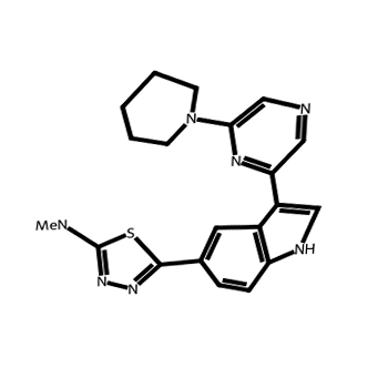 CNc1nnc(-c2ccc3[nH]cc(-c4cncc(N5CCCCC5)n4)c3c2)s1